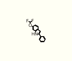 FC(F)Oc1ccc2cc(-c3ccccc3)[nH]c2c1